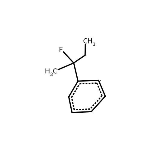 CCC(C)(F)c1[c]cccc1